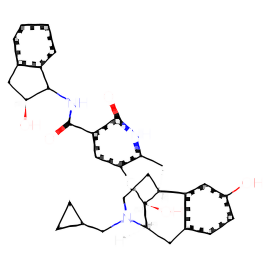 O=C(NC1c2ccccc2C[C@@H]1O)c1cc2c([nH]c1=O)C[C@]13CCN(CC4CC4)[C@H](Cc4ccc(O)cc41)[C@]3(O)C2